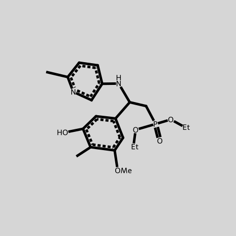 CCOP(=O)(CC(Nc1ccc(C)nc1)c1cc(O)c(C)c(OC)c1)OCC